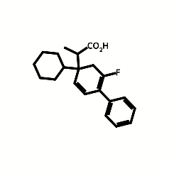 CC(C(=O)O)C1(C2CCCCC2)C=CC(c2ccccc2)=C(F)C1